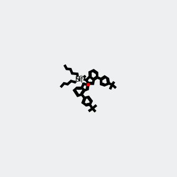 CCCCC[Si](CCCCC)=[Hf]([CH3])([CH3])([CH]1C=Cc2c(-c3ccc(C(C)(C)C)cc3)cccc21)[CH]1C=Cc2c(-c3ccc(C(C)(C)C)cc3)cccc21